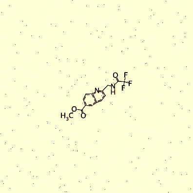 COC(=O)c1ccc2nc(CNC(=O)C(F)(F)F)ccc2c1